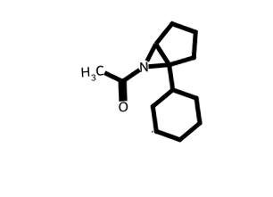 CC(=O)N1C2CCCC21C1C[CH]CCC1